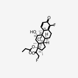 CCC(=O)O[C@@]1(C(=O)CF)[C@@H](C)C[C@H]2[C@@H]3CCC4=C(F)C(=O)C=C[C@]4(C)[C@@]3(Cl)[C@@H](O)C[C@@]21C